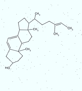 C/C=C(\C)CCC(C)C1CCC2C3=CC=C4CC(O)CCC4(C)C3CCC21C